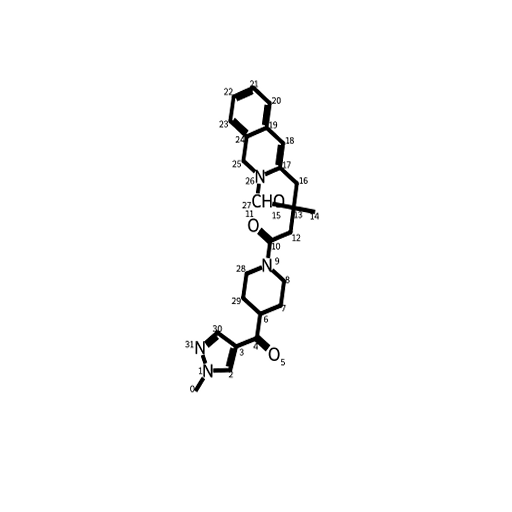 Cn1cc(C(=O)C2CCN(C(=O)CC(C)(C)CC3=Cc4ccccc4CN3C=O)CC2)cn1